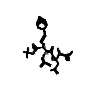 CC(C)C[C@@H](C(=O)NN(CC(C)C)C(=O)C(C)C)[C@H](CC=Cc1ccccc1)C(=O)OC(C)(C)C